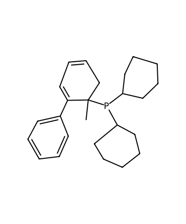 CC1(P(C2CCCCC2)C2CCCCC2)CC=CC=C1c1ccccc1